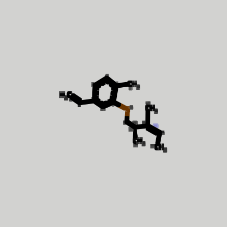 C=Cc1ccc(C)c(SC[C@H](C)/C(C)=C\C)c1